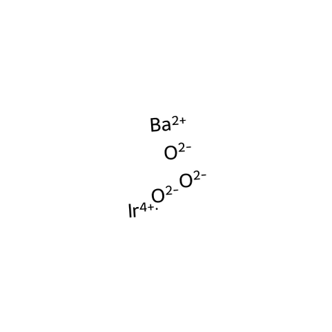 [Ba+2].[Ir+4].[O-2].[O-2].[O-2]